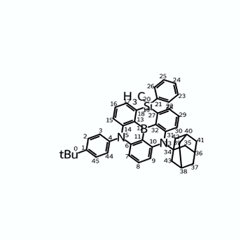 CC(C)(C)c1ccc(N2c3cccc4c3B3c5c2cccc5[Si](C)(c2ccccc2)c2cccc(c23)N4C23CC4CC(CC(C4)C2)C3)cc1